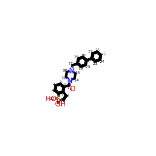 O=C(c1cccc2c1C=CS2(O)O)N1CCN(Cc2ccc(-c3ccccc3)cc2)CC1